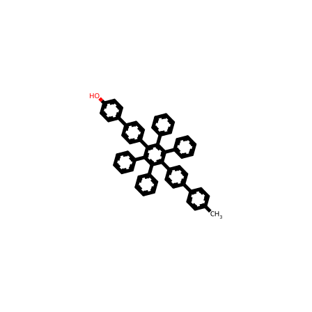 Cc1ccc(-c2ccc(-c3c(-c4ccccc4)c(-c4ccccc4)c(-c4ccc(-c5ccc(O)cc5)cc4)c(-c4ccccc4)c3-c3ccccc3)cc2)cc1